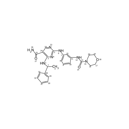 CC(Nc1nc(Nc2cccc(NC(=O)N3CCOCC3)c2)ncc1C(N)=O)c1ccccc1